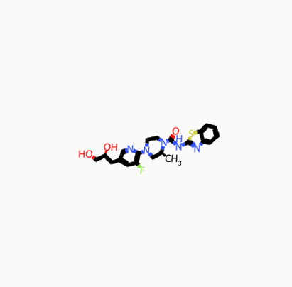 C[C@H]1CN(c2ncc(C[C@H](O)CO)cc2F)CCN1C(=O)Nc1nc2ccccc2s1